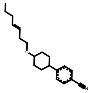 CCC/C=C/CCOC1CCC(c2ccc(C#N)cc2)CC1